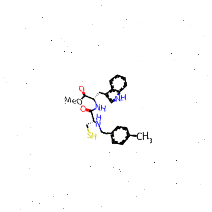 COC(=O)[C@H](Cc1c[nH]c2ccccc12)NC(=O)[C@@H](CS)NCc1ccc(C)cc1